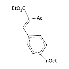 CCCCCCCCc1ccc(/C=C(\C(C)=O)C(=O)OCC)cc1